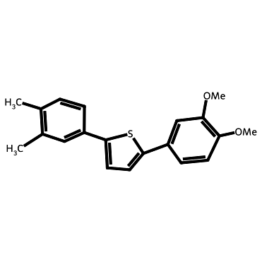 COc1ccc(-c2ccc(-c3ccc(C)c(C)c3)s2)cc1OC